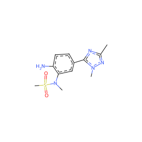 Cc1nc(-c2ccc(N)c(N(C)S(C)(=O)=O)c2)n(C)n1